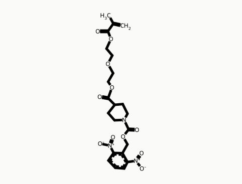 C=C(C)C(=O)OCCOCCOC(=O)C1CCN(C(=O)OCc2c([N+](=O)[O-])cccc2[N+](=O)[O-])CC1